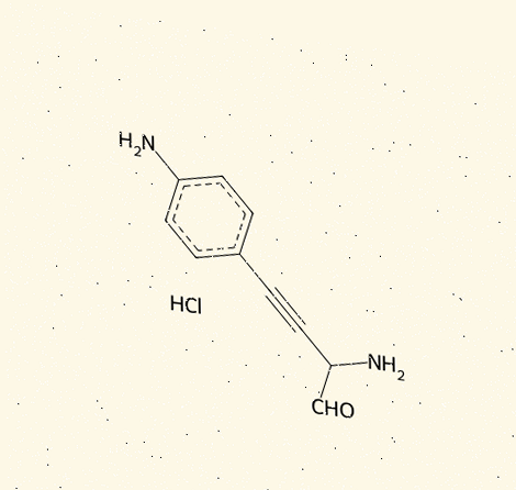 Cl.Nc1ccc(C#CC(N)C=O)cc1